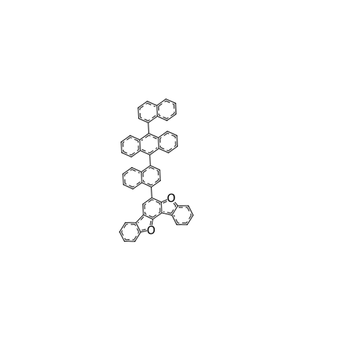 c1ccc2c(-c3c4ccccc4c(-c4ccc(-c5cc6c7ccccc7oc6c6c5oc5ccccc56)c5ccccc45)c4ccccc34)cccc2c1